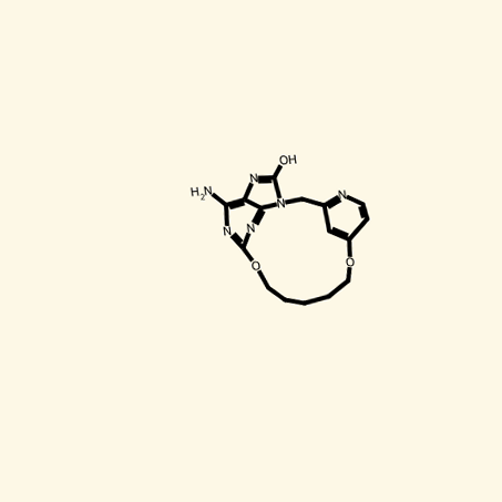 Nc1nc2nc3c1nc(O)n3Cc1cc(ccn1)OCCCCCO2